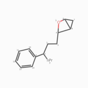 [CH2]CCC(CC[C]1OC2CC12)c1ccccc1